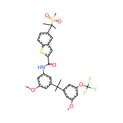 COc1cc(NC(=O)c2cc3cc(C(C)(C)S(C)(=O)=O)ccc3s2)cc(C(C)(C)c2cc(OC)cc(OC(F)(F)F)c2)c1